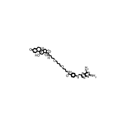 C[C@@H]1C[C@H]2C3CCC4=CC(=O)C=C[C@]4(C)[C@@]3(F)[C@@H](O)C[C@]2(C)[C@@]1(O)C(=O)NCCCOCCCCOCCCNC(=O)c1ccc(N(C)Cc2cnc3nc(N)nc(N)c3n2)cc1